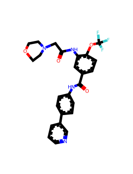 O=C(CN1CCOCC1)Nc1cc(C(=O)Nc2ccc(-c3cccnc3)cc2)ccc1OC(F)(F)F